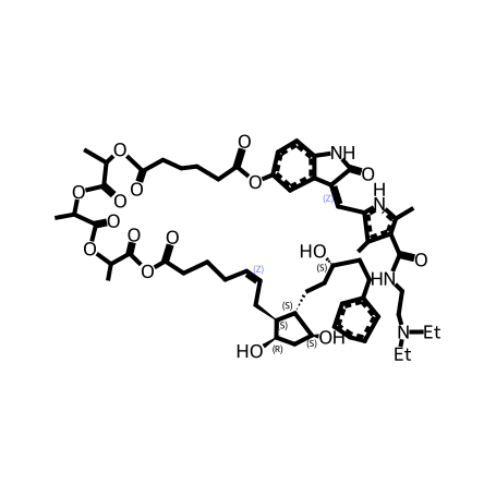 CCN(CC)CCNC(=O)c1c(C)[nH]c(/C=C2\C(=O)Nc3ccc(OC(=O)CCCCC(=O)OC(C)C(=O)OC(C)C(=O)OC(C)C(=O)OC(=O)CCC/C=C\C[C@H]4[C@H](CC[C@H](O)CCc5ccccc5)[C@@H](O)C[C@H]4O)cc32)c1C